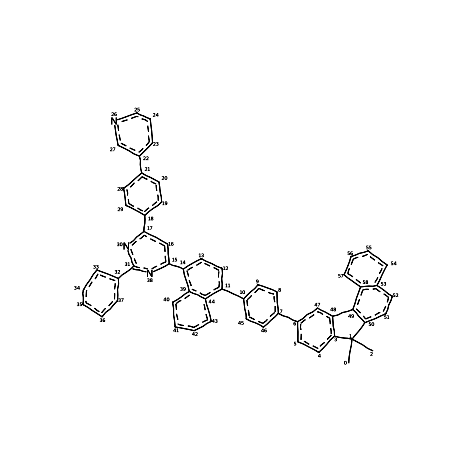 CC1(C)c2ccc(-c3ccc(-c4ccc(-c5cc(-c6ccc(-c7cccnc7)cc6)nc(-c6ccccc6)n5)c5ccccc45)cc3)cc2-c2c1ccc1ccccc21